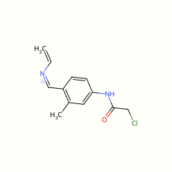 C=C/N=C\c1ccc(NC(=O)CCl)cc1C